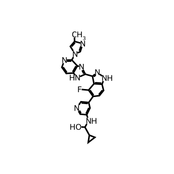 Cc1cn(-c2nccc3[nH]c(-c4n[nH]c5ccc(-c6cncc(NC(O)C7CC7)c6)c(F)c45)nc23)cn1